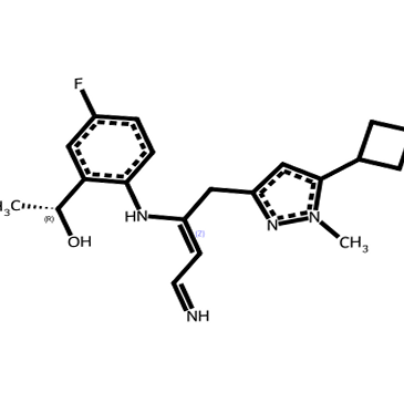 C[C@@H](O)c1cc(F)ccc1N/C(=C\C=N)Cc1cc(C2CCC2)n(C)n1